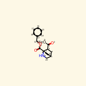 COC(=O)C1CC2C=CC1(C(=O)OCc1ccccc1)NC2